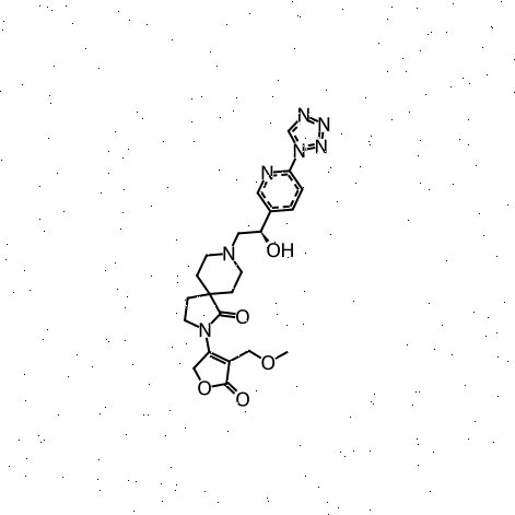 COCC1=C(N2CCC3(CCN(C[C@H](O)c4ccc(-n5cnnn5)nc4)CC3)C2=O)COC1=O